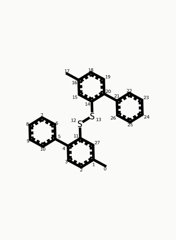 Cc1ccc(-c2ccccc2)c(SSc2cc(C)ccc2-c2ccccc2)c1